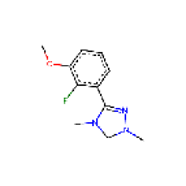 COc1cccc(C2=NN(C)CN2C)c1F